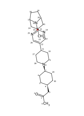 CC(=O)C[C@H]1CC[C@@H](N2CCC(c3cnc(N4C5CCC4CN(C)C5)nc3)CC2)CC1